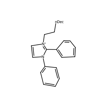 CCCCCCCCCCCC[n+]1ccn(-c2ccccc2)c1-c1ccccc1